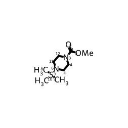 COC(=O)N1CCN(S(C)(C)C)CC1